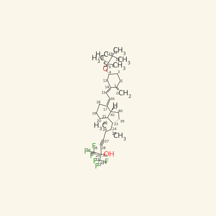 C=C1CC[C@@H](O[Si](C)(C)C(C)(C)C)C/C1=C/C=C1\CCC[C@]2(C)[C@@H]([C@H](C)CC#CC(O)(C(F)(F)F)C(F)(F)F)CC[C@@H]12